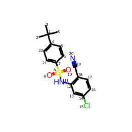 CC(C)(C)c1ccc(S(=O)(=O)Nc2cc(Cl)ccc2C#N)cc1